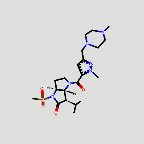 CC(C)[C@H]1C(=O)N(S(C)(=O)=O)[C@H]2CCN(C(=O)c3cc(CN4CCN(C)CC4)nn3C)[C@H]12